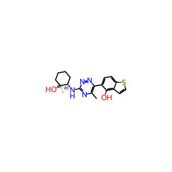 Cc1nc(N[C@@H]2CCCC[C@]2(C)O)nnc1-c1ccc2sccc2c1O